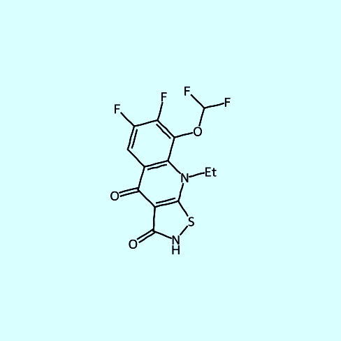 CCn1c2s[nH]c(=O)c2c(=O)c2cc(F)c(F)c(OC(F)F)c21